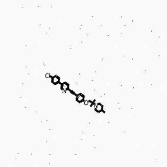 CC1CCN(C(C)(C)COc2ccc(C#Cc3ccc(-c4ccc(Cl)cc4)cn3)cc2)CC1